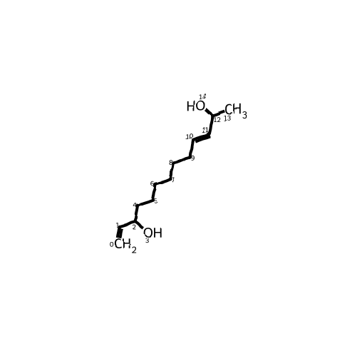 C=CC(O)CCCCCCC=CC(C)O